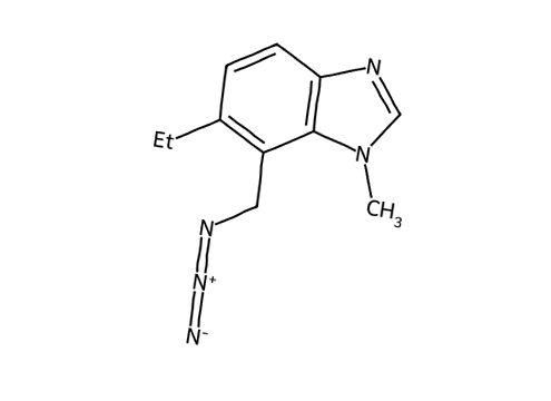 CCc1ccc2ncn(C)c2c1CN=[N+]=[N-]